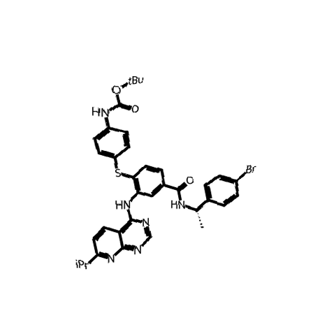 CC(C)c1ccc2c(Nc3cc(C(=O)N[C@@H](C)c4ccc(Br)cc4)ccc3Sc3ccc(NC(=O)OC(C)(C)C)cc3)ncnc2n1